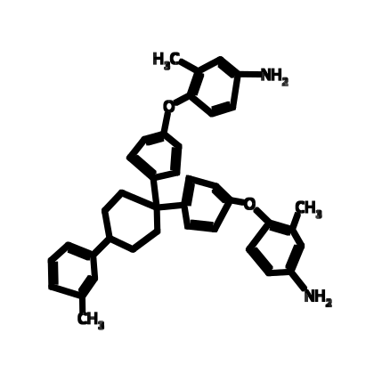 Cc1cccc(C2CCC(c3ccc(Oc4ccc(N)cc4C)cc3)(c3ccc(Oc4ccc(N)cc4C)cc3)CC2)c1